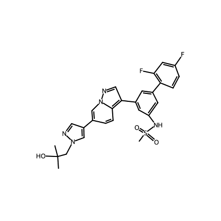 CC(C)(O)Cn1cc(-c2ccc3c(-c4cc(NS(C)(=O)=O)cc(-c5ccc(F)cc5F)c4)cnn3c2)cn1